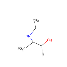 C[C@@H](O)C(NCC(C)(C)C)C(=O)O